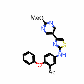 COc1ncc(-c2csc(Nc3ccc(Oc4ccccc4)c(C(C)=O)c3)n2)cn1